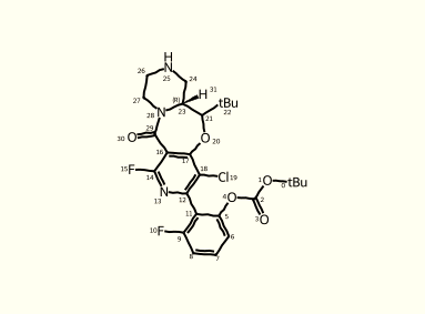 CC(C)(C)OC(=O)Oc1cccc(F)c1-c1nc(F)c2c(c1Cl)OC(C(C)(C)C)[C@H]1CNCCN1C2=O